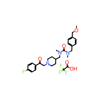 COCc1ccc(CN(C)C(=O)N(C)CC2CCN(CC(=O)c3ccc(F)cc3)CC2)cc1.O=C(O)C(F)(F)F